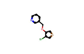 Brc1cscc1OCc1cccnc1